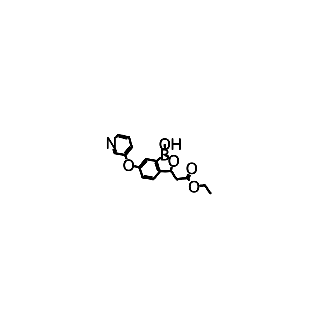 CCOC(=O)CC1OB(O)c2cc(Oc3cccnc3)ccc21